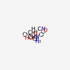 CC1=NOCc2ccc(NC(=O)C(O)(CC(C)(C)c3ccccc3)C(F)(F)F)cc21